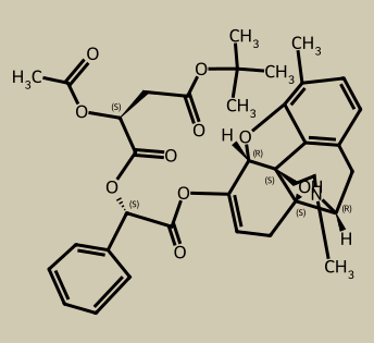 CC(=O)O[C@@H](CC(=O)OC(C)(C)C)C(=O)O[C@H](C(=O)OC1=CC[C@@]2(O)[C@H]3Cc4ccc(C)c5c4[C@@]2(CCN3C)[C@H]1O5)c1ccccc1